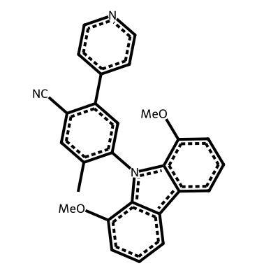 COc1cccc2c3cccc(OC)c3n(-c3cc(-c4ccncc4)c(C#N)cc3C)c12